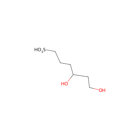 O=S(=O)(O)CCCC(O)CCO